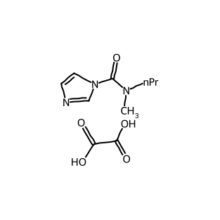 CCCN(C)C(=O)n1ccnc1.O=C(O)C(=O)O